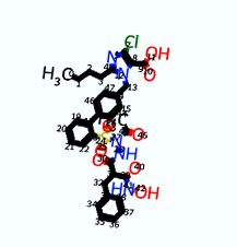 CCCCc1nc(Cl)c(C(=O)O)n1Cc1ccc(-c2ccccc2S(=O)(=O)N(NC(=O)C(Cc2ccccc2)C(=O)NO)C(C)=O)cc1